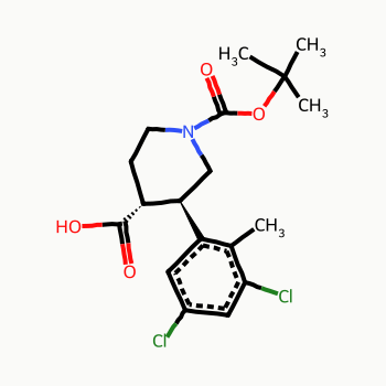 Cc1c(Cl)cc(Cl)cc1[C@@H]1CN(C(=O)OC(C)(C)C)CC[C@H]1C(=O)O